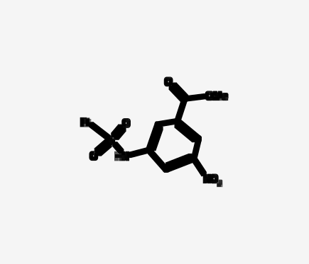 CCS(=O)(=O)Nc1cc(C(=O)OC)cc([N+](=O)[O-])c1